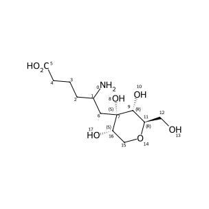 NC(CCCC(=O)O)C[C@@]1(O)[C@H](O)[C@@H](CO)OC[C@@H]1O